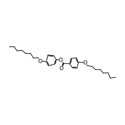 CCCCCCCCOc1ccc(OC(=O)c2ccc(OCCCCCCCC)cc2)cc1